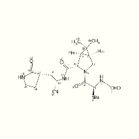 CC(C)(C)[C@H](NC=O)C(=O)N1C[C@H]2[C@@H]([C@H]1C(=O)N[C@H](C#N)C[C@@H]1CCNC1=O)C2(C)C